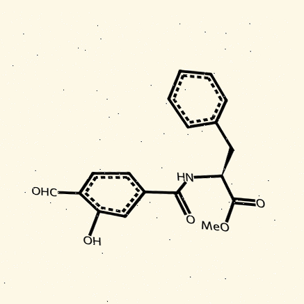 COC(=O)[C@H](Cc1ccccc1)NC(=O)c1ccc(C=O)c(O)c1